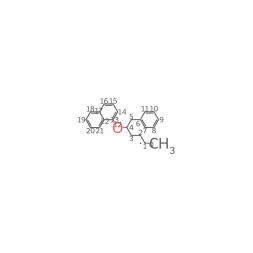 C[CH]CCC(Cc1ccccc1)Oc1cccc2ccccc12